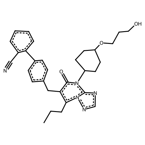 CCCc1c(Cc2ccc(-c3ccccc3C#N)cc2)c(=O)n(C2CCC(OCCCO)CC2)c2ncnn12